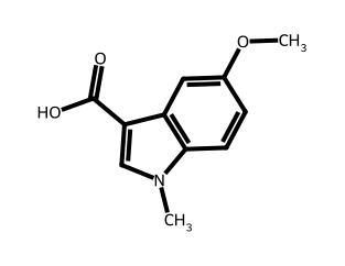 COc1ccc2c(c1)c(C(=O)O)cn2C